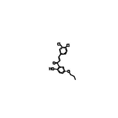 CCCOc1ccc(O)c(C(=O)C=Cc2ccc(Cl)c(Cl)c2)c1